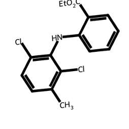 CCOC(=O)c1ccccc1Nc1c(Cl)ccc(C)c1Cl